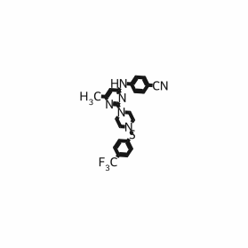 Cc1cc(Nc2ccc(C#N)cc2)nc(N2CCN(Sc3ccc(C(F)(F)F)cc3)CC2)n1